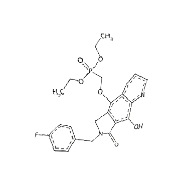 CCOP(=O)(COc1c2c(c(O)c3ncccc13)C(=O)N(Cc1ccc(F)cc1)C2)OCC